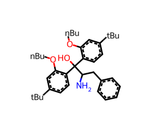 CCCCOc1cc(C(C)(C)C)ccc1C(O)(c1ccc(C(C)(C)C)cc1OCCCC)C(N)Cc1ccccc1